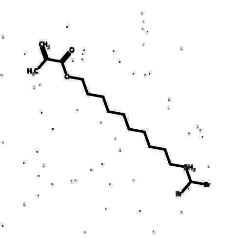 C=C(C)C(=O)OCCCCCCCCCC[SiH2]C(Br)Br